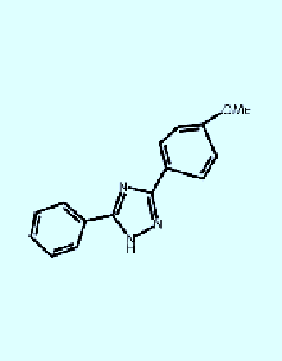 COc1ccc(-c2n[nH]c(-c3ccccc3)n2)cc1